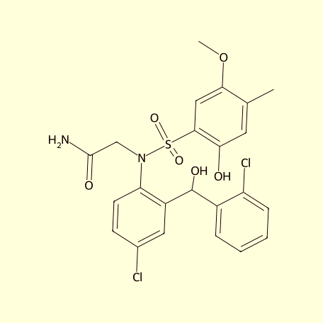 COc1cc(S(=O)(=O)N(CC(N)=O)c2ccc(Cl)cc2C(O)c2ccccc2Cl)c(O)cc1C